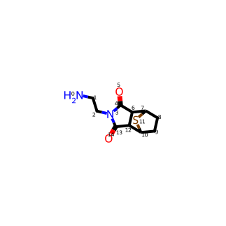 NCCN1C(=O)C2C3CCC(S3)C2C1=O